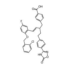 O=C(O)c1ccc(CC(/C=C/c2cc(F)ccc2OCc2ccccc2Cl)CCc2ccc(-c3noc(=O)[nH]3)cc2)cc1